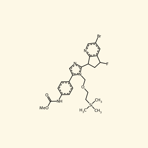 COC(=O)Nc1ccc(-c2cnc(C3CC(F)c4cc(Br)cnc43)n2COCC[Si](C)(C)C)cc1